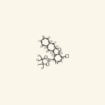 CC1(C)OB(c2ncc(Cl)c3oc4cc5ccccc5cc4c23)OC1(C)C